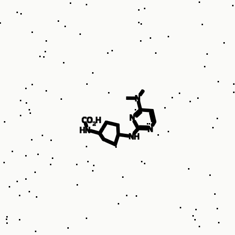 CN(C)c1ccnc(NC2CCC(NC(=O)O)CC2)n1